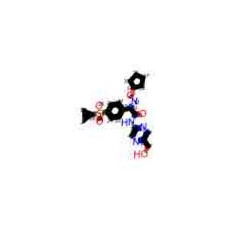 O=C(Nc1cnc(CO)cn1)/C(=N/OC1CCCC1)c1ccc(S(=O)(=O)C2CC2)cc1